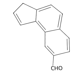 O=Cc1ccc2ccc3c(c2c1)C=CC3